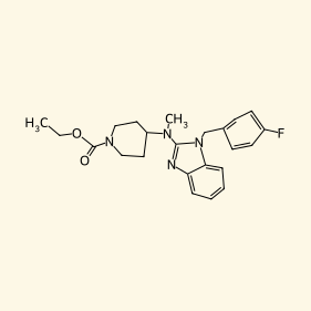 CCOC(=O)N1CCC(N(C)c2nc3ccccc3n2Cc2ccc(F)cc2)CC1